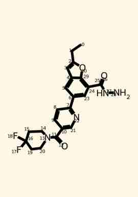 CCc1cc2cc(-c3ccc(C(=O)N4CCC(F)(F)CC4)cn3)cc(C(=O)NN)c2o1